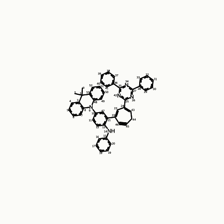 CC1(C)c2ccccc2N(c2ccc(Nc3ccccc3)c(C3=CC(c4nc(-c5ccccc5)nc(-c5ccccc5)n4)=CCC#C3)c2)c2ccccc21